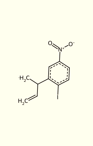 [CH2]C(C=C)c1cc([N+](=O)[O-])ccc1I